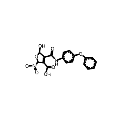 O=C(O)C1=C(C(=O)Nc2ccc(Oc3ccccc3)cc2)C(O)OC1[N+](=O)[O-]